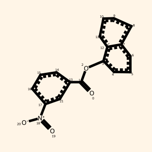 O=C(Oc1cccc2ccccc12)c1cccc([N+](=O)[O-])c1